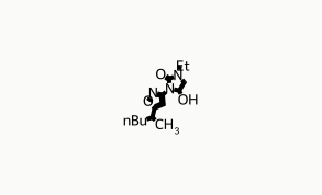 CCCCC(C)c1cc(N2C(=O)N(CC)CC2O)no1